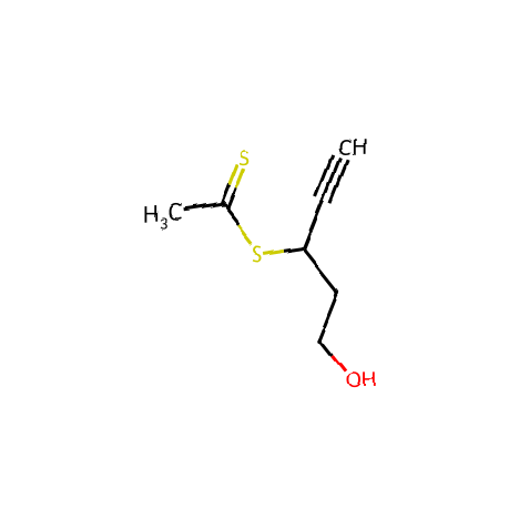 C#CC(CCO)SC(C)=S